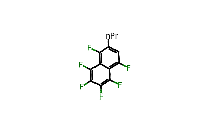 [CH2][CH]Cc1cc(F)c2c(F)c(F)c(F)c(F)c2c1F